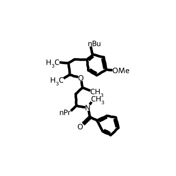 CCCCc1cc(OC)ccc1CC(C)C(C)OC(C)CC(CCC)N(C)C(=O)c1ccccc1